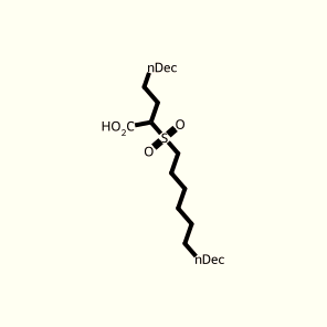 CCCCCCCCCCCCCCCCS(=O)(=O)C(CCCCCCCCCCCC)C(=O)O